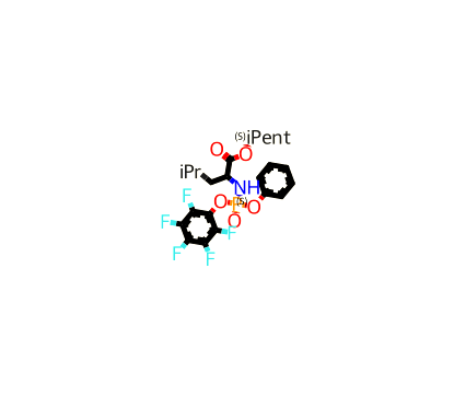 CCC[C@H](C)OC(=O)C(CC(C)C)N[P@](=O)(Oc1ccccc1)Oc1c(F)c(F)c(F)c(F)c1F